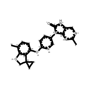 Cc1ncc2[nH]c(=O)n(-c3ccc(Oc4ccc(C)c5c4C4(CC4)CO5)nc3)c2n1